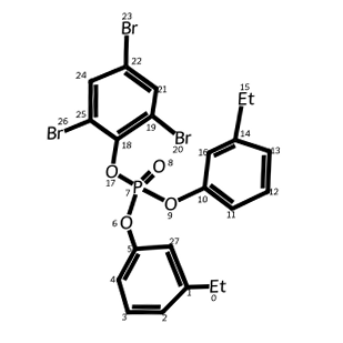 CCc1cccc(OP(=O)(Oc2cccc(CC)c2)Oc2c(Br)cc(Br)cc2Br)c1